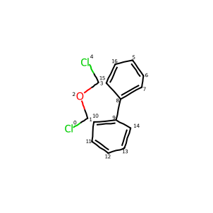 ClCOCCl.c1ccc(-c2ccccc2)cc1